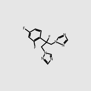 Fc1ccc(C(F)(Cn2cncn2)Cn2cncn2)c(F)c1